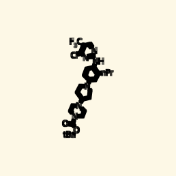 CCCc1cc(N2CCC(N3CCN(C(=O)OC(C)(C)C)CC3)CC2)ccc1Nc1ncc(C(F)(F)F)c(Cl)n1